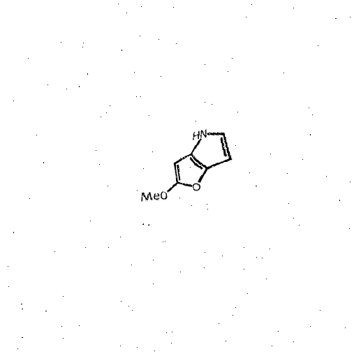 COc1cc2[nH]ccc2o1